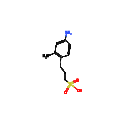 Cc1cc(N)ccc1CCCS(=O)(=O)O